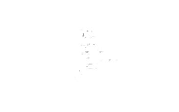 CCN(Cc1nc2c(N)nc3cc(-c4cc[nH]n4)ccc3c2[nH]1)C(=O)C(C)C